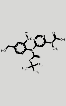 CN(C(=O)O)c1cc(N(C(=O)OC(C)(C)C)c2ccc(CO)cc2[N+](=O)[O-])ncn1